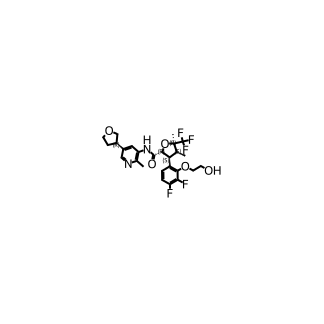 Cc1ncc([C@H]2CCOC2)cc1NC(=O)[C@@H]1O[C@@](C)(C(F)(F)F)[C@@H](C)[C@H]1c1ccc(F)c(F)c1OCCO